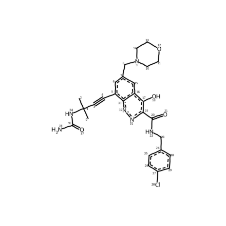 CC(C)(C#Cc1cc(CN2CCOCC2)cc2c(O)c(C(=O)NCc3ccc(Cl)cc3)nnc12)NC(N)=O